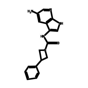 Nc1cnc2[nH]cc(NC(=O)N3CC(c4ccccc4)C3)c2c1